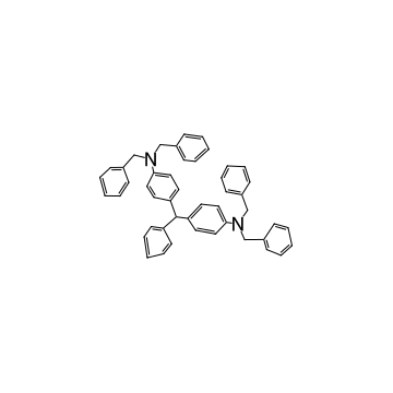 c1ccc(CN(Cc2ccccc2)c2ccc(C(c3ccccc3)c3ccc(N(Cc4ccccc4)Cc4ccccc4)cc3)cc2)cc1